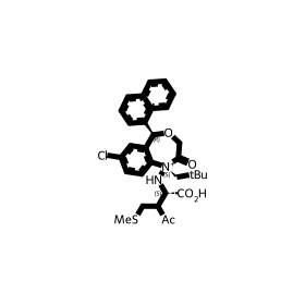 CSCC(C(C)=O)[C@H](N[N@+]1(CC(C)(C)C)C(=O)CO[C@H](c2cccc3ccccc23)c2cc(Cl)ccc21)C(=O)O